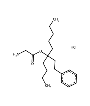 CCCCCC(CCCC)(CCc1ccccc1)OC(=O)CN.Cl